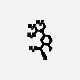 C=C(C#N)c1cc(N(CC)C(C)N)ccc1F